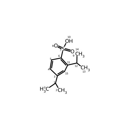 CC(C)c1ccc(S(=O)(=O)O)c(C(C)C)c1